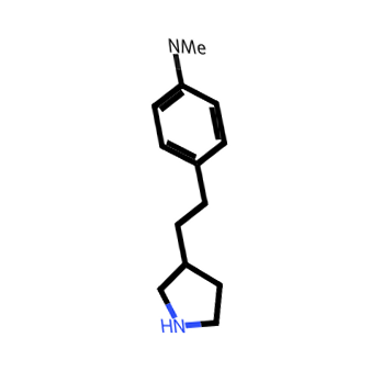 CNc1ccc(CCC2CCNC2)cc1